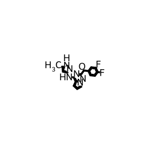 Cc1cc(Nc2nc(C(=O)c3ccc(F)c(F)c3)nn3cccc23)n[nH]1